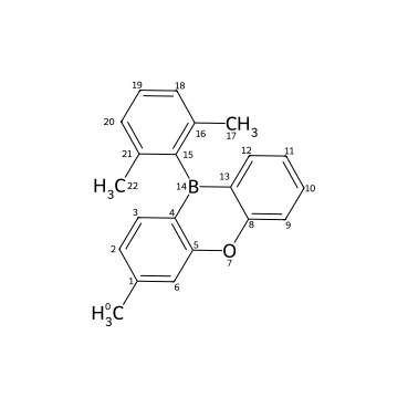 Cc1ccc2c(c1)Oc1ccccc1B2c1c(C)cccc1C